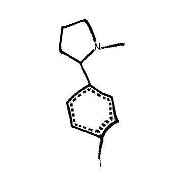 CN1CCCC1c1ccc(I)cc1